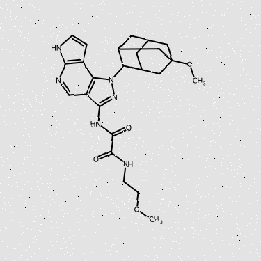 COCCNC(=O)C(=O)Nc1nn(C2C3CC4CC2CC(OC)(C4)C3)c2c1cnc1[nH]ccc12